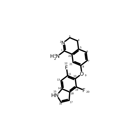 NC1=NCCc2ccc(Oc3c(F)cc4[nH]ccc4c3F)cc21